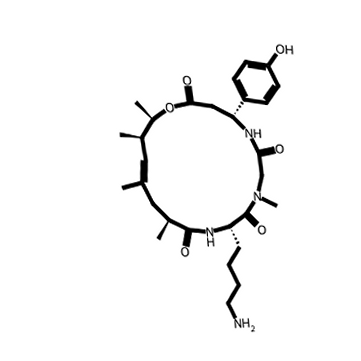 C/C1=C\[C@@H](C)[C@@H](C)OC(=O)C[C@H](c2ccc(O)cc2)NC(=O)CN(C)C(=O)[C@H](CCCCN)NC(=O)[C@@H](C)C1